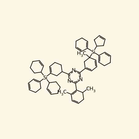 CC1=C(c2nc(C3=CC=CC(C)([Si](C4=CCCC=C4)(C4=CCCC=C4)C4CC=CC4)C3)nc(C3CCC=C([Si](C4=CC=CCC4)(C4C=CCCC4)C4C=CCCC4)C3)n2)C(C)CC=C1